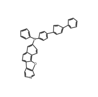 c1ccc(-c2ccc(-c3ccc(N(c4ccccc4)c4ccc5c(ccc6c7ccncc7oc56)c4)cc3)cc2)cc1